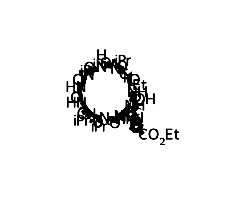 CCOC(=O)c1ccc2[nH]c(C[C@@H](C)[C@@H](O)[C@@H]3NC(=O)[C@H](C(C)C)N(C)C(=O)[C@H](CC(C)C)N(C)C(=O)[C@H](CC(C)C)N(C)C(=O)[C@@H](C)NC(=O)[C@H](C)NC(=O)[C@H](CC(C)C)N(C)C(=O)[C@H](C(C)C)NC(=O)[C@H](CC(C)C)N(C)C(=O)CN(C)C(=O)[C@H](CC)NC3=O)nc2c1